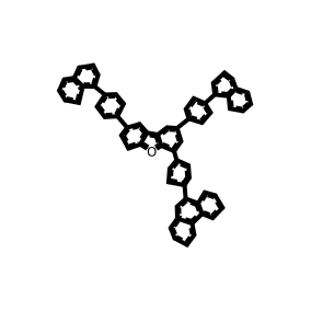 c1ccc2c(-c3ccc(-c4ccc5oc6c(-c7ccc(-c8cc9ccccc9c9ccccc89)cc7)cc(-c7ccc(-c8cccc9ccccc89)cc7)cc6c5c4)cc3)cccc2c1